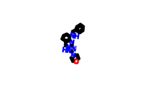 c1ccc(CNC2CCCC3=C2N=C2N=C(N4CCOCC4)NN2C3)cc1